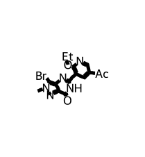 CCOc1ncc(C(C)=O)cc1-c1nc2c(Br)n(C)nc2c(=O)[nH]1